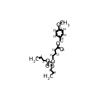 C=CCOP(=O)(OCC=C)OCCCC(=O)OCc1ccc(OC)cc1